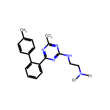 CCN(CC)CCNc1nc(-c2ccccc2-c2ccc(C)cc2)nc(C(Cl)(Cl)Cl)n1